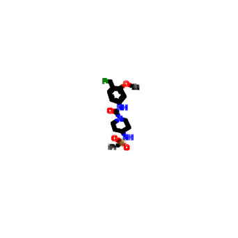 CCOc1cc(NC(=O)N2CCC(NS(=O)(=O)C(C)C)CC2)ccc1CF